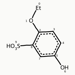 CCOc1ccc(O)cc1S(=O)(=O)O